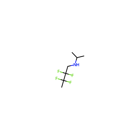 CC(C)NCC(F)(F)C(C)(F)F